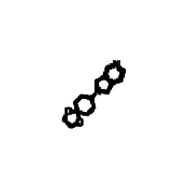 c1cc2c(cn1)CN(C1CCC3(CC1)OCCO3)C2